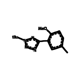 COc1ccc(C)cc1-c1nnn(C(C)(C)C)n1